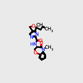 CCC[C@]1(C)OCc2cnc(C(=O)N[C@H]3COc4ccccc4N(C)C3=O)nc21